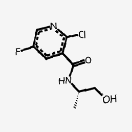 C[C@@H](CO)NC(=O)c1cc(F)cnc1Cl